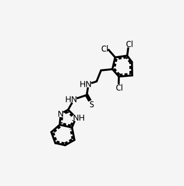 S=C(NCCc1c(Cl)ccc(Cl)c1Cl)Nc1nc2ccccc2[nH]1